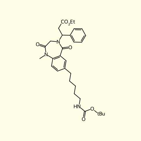 CCOC(=O)CC(c1ccccc1)N1CC(=O)N(C)c2ccc(CCCCCNC(=O)OC(C)(C)C)cc2C1=O